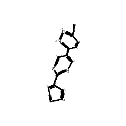 Cc1ccc(-c2cnc(-c3ccccc3)nc2)nn1